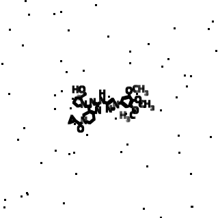 COc1cc(-n2cnc(Nc3nc4c(c(N5CCC[C@H]5CO)n3)CN(C(=O)C3CC3)CC4)c2)cc(OC)c1OC